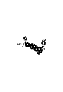 C=C(C)[C@@H]1CC[C@]2(NCCN3CCS(=O)(=O)CC3)CC[C@]3(C)[C@H](CC[C@@H]4[C@@]5(C)CC=C(C6=CCC(COc7nccs7)(C(=O)OCC)CC6)C(C)(C)[C@@H]5CC[C@]43C)[C@@H]12